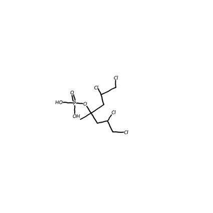 CC(CC(Cl)CCl)(CC(Cl)CCl)OP(=O)(O)O